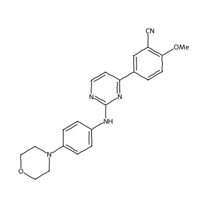 COc1ccc(-c2ccnc(Nc3ccc(N4CCOCC4)cc3)n2)cc1C#N